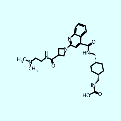 CN(C)CCNC(=O)C1CN(c2cc(C(=O)NC[C@H]3CC[C@H](CNC(=O)O)CC3)c3ccccc3n2)C1